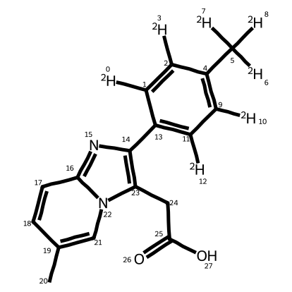 [2H]c1c([2H])c(C([2H])([2H])[2H])c([2H])c([2H])c1-c1nc2ccc(C)cn2c1CC(=O)O